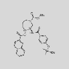 CC(C)(C)OC(=O)N1CCC[C@@H](OC(=O)c2ccc3ccccc3c2)[C@H](NC(=O)c2ccc(O[Si](C)(C)C(C)(C)C)cc2)C1